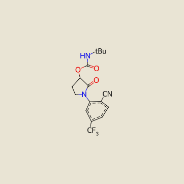 CC(C)(C)NC(=O)OC1CCN(c2cc(C(F)(F)F)ccc2C#N)C1=O